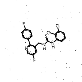 Fc1ccc(-c2ncc(F)cc2CNC(=S)Nc2cccc(Cl)c2Cl)cc1